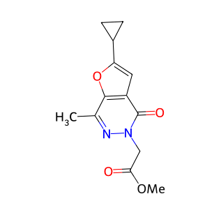 COC(=O)Cn1nc(C)c2oc(C3CC3)cc2c1=O